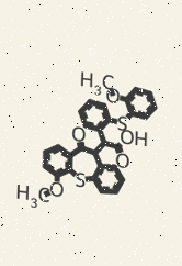 COc1ccccc1Sc1ccccc1C(C(=O)O)C1C(=O)c2cccc(OC)c2Sc2ccccc21